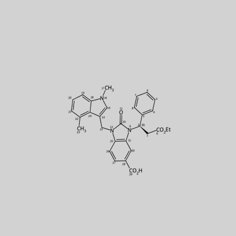 CCOC(=O)C[C@H](c1ccccc1)n1c(=O)n(Cc2cn(C)c3cccc(C)c23)c2ccc(C(=O)O)cc21